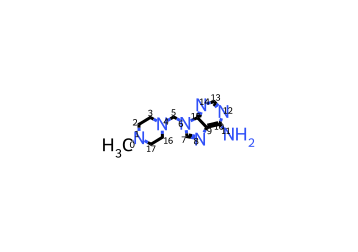 CN1CCN(Cn2cnc3c(N)ncnc32)CC1